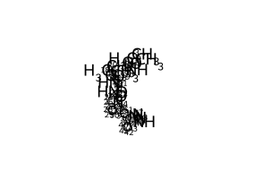 CC(C)(C)OC(=O)NCCCC[C@H](NC(=O)OC(C)(C)C)C(=O)NC1CCc2ccccc2N(Cc2ccc(-c3ccccc3-c3nnn[nH]3)cc2)C1=O